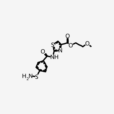 COCCOC(=O)c1csc(NC(=O)c2ccc(SN)cc2)n1